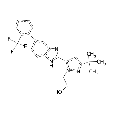 CC(C)(C)c1cc(-c2nc3cc(-c4ccccc4C(F)(F)F)ccc3[nH]2)n(CCO)n1